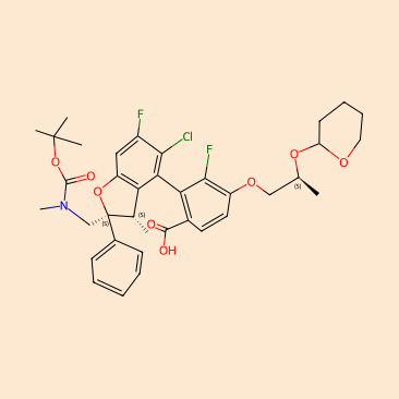 C[C@@H](COc1ccc(C(=O)O)c(-c2c(Cl)c(F)cc3c2[C@H](C)[C@@](CN(C)C(=O)OC(C)(C)C)(c2ccccc2)O3)c1F)OC1CCCCO1